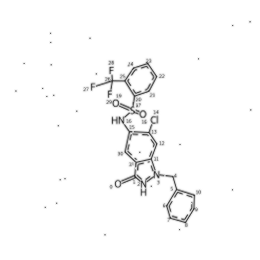 O=c1[nH]n(Cc2ccccc2)c2cc(Cl)c(NS(=O)(=O)c3ccccc3C(F)(F)F)cc12